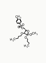 CCCCOC1[C@@H](OCCCC)[C@@H](OC)O[C@@H]1COS(=O)(=O)c1ccc(C)cc1